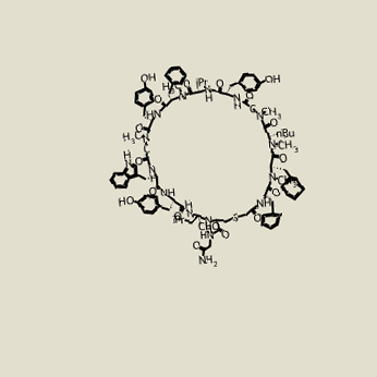 CCCC[C@H]1C(=O)N(C)CC(=O)N[C@@H](Cc2ccc(O)cc2)C(=O)N[C@@H](C(C)C)C(=O)N(C)[C@@H](Cc2ccccc2)C(=O)N[C@@H](Cc2ccc(O)cc2)C(=O)N(C)CC(=O)N[C@@H](Cc2c[nH]c3ccccc23)C(=O)N[C@@H](Cc2ccc(O)cc2)C(=O)N[C@](C=O)(CC(C)C)N[C@H](C(=O)NCC(N)=O)CSCC(=O)N[C@@H](Cc2ccccc2)C(=O)N(C)[C@@H](Cc2ccccc2)C(=O)N1C